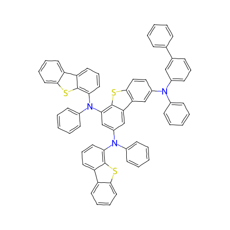 c1ccc(-c2cccc(N(c3ccccc3)c3ccc4sc5c(N(c6ccccc6)c6cccc7c6sc6ccccc67)cc(N(c6ccccc6)c6cccc7c6sc6ccccc67)cc5c4c3)c2)cc1